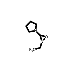 FC(F)(F)CN1OC1N1CCCC1